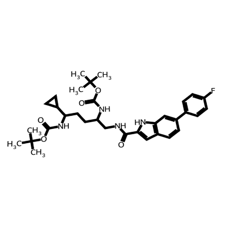 CC(C)(C)OC(=O)NC(CCC(NC(=O)OC(C)(C)C)C1CC1)CNC(=O)c1cc2ccc(-c3ccc(F)cc3)cc2[nH]1